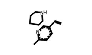 C1CCNCC1.C=Cc1ccc(C)nc1